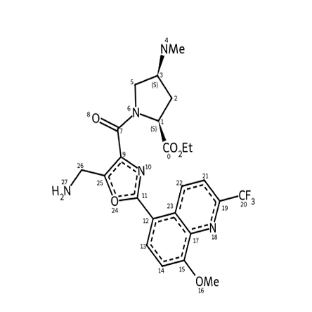 CCOC(=O)[C@@H]1C[C@H](NC)CN1C(=O)c1nc(-c2ccc(OC)c3nc(C(F)(F)F)ccc23)oc1CN